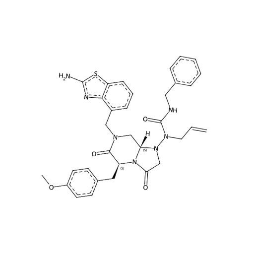 C=CCN(C(=O)NCc1ccccc1)N1CC(=O)N2[C@@H](Cc3ccc(OC)cc3)C(=O)N(Cc3cccc4sc(N)nc34)C[C@@H]21